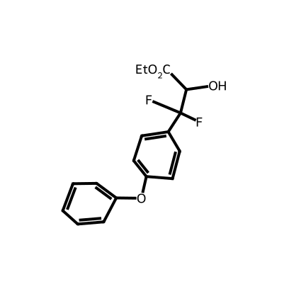 CCOC(=O)C(O)C(F)(F)c1ccc(Oc2ccccc2)cc1